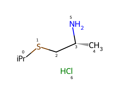 CC(C)SC[C@@H](C)N.Cl